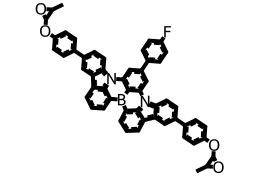 CC1OC1Oc1ccc(-c2ccc3c(c2)c2cccc4c2n3-c2cc(-c3ccc(F)cc3)cc3c2B4c2cccc4c5cc(-c6ccc(OC7OC7C)cc6)ccc5n-3c24)cc1